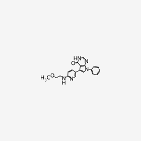 COCCNc1ccc(-c2cn(-c3ccccc3)c3nc[nH]c(=O)c23)cn1